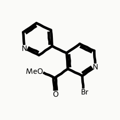 COC(=O)c1c(-c2cccnc2)ccnc1Br